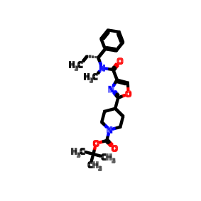 CC[C@H](c1ccccc1)N(C)C(=O)c1coc(C2CCN(C(=O)OC(C)(C)C)CC2)n1